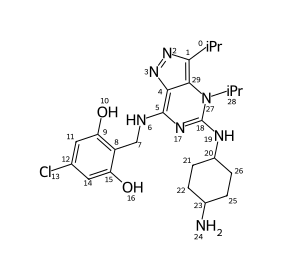 CC(C)c1nnc2c(NCc3c(O)cc(Cl)cc3O)nc(NC3CCC(N)CC3)n(C(C)C)c1-2